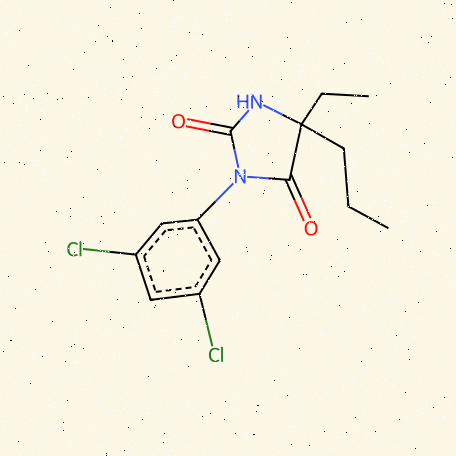 CCCC1(CC)NC(=O)N(c2cc(Cl)cc(Cl)c2)C1=O